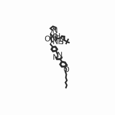 CCCCCCCOc1ccc(-c2cnc(-c3ccc(C[C@H](NC(=O)c4ccc(C(C)(C)C)s4)C(=O)NC[C@H]4CCCN4C)cc3)nc2)cc1